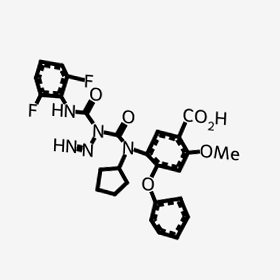 COc1cc(Oc2ccccc2)c(N(C(=O)N(N=N)C(=O)Nc2c(F)cccc2F)C2CCCC2)cc1C(=O)O